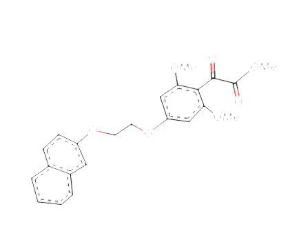 COC(=O)C(=O)c1c(OC)cc(OCCOc2ccc3ccccc3c2)cc1OC